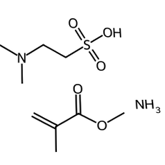 C=C(C)C(=O)OC.CN(C)CCS(=O)(=O)O.N